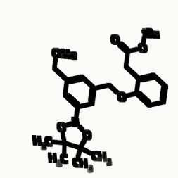 COCc1cc(COc2ccccc2CC(=O)OC(C)(C)C)cc(B2OC(C)(C)C(C)(C)O2)c1